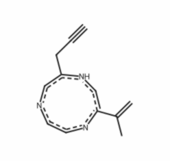 C#CCc1cnccnc(C(=C)C)c[nH]1